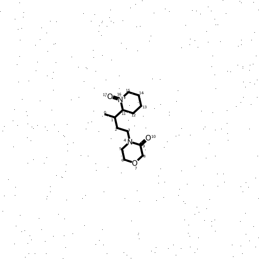 CC(CCN1CCOCC1=O)C1CCCC[N+]1=O